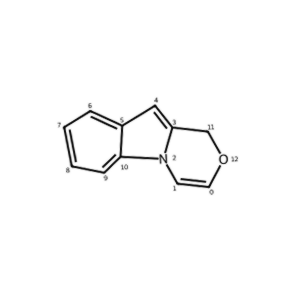 C1=Cn2c(cc3ccccc32)CO1